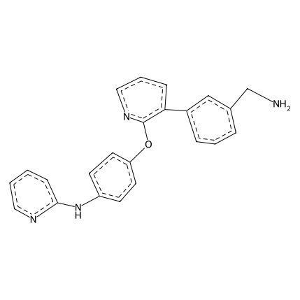 NCc1cccc(-c2cccnc2Oc2ccc(Nc3ccccn3)cc2)c1